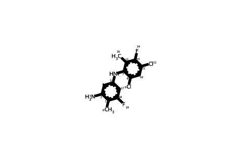 Cc1c(N)cc(Nc2c(Cl)cc(Cl)c(F)c2C)cc1F